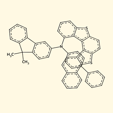 CC1(C)c2ccccc2-c2cc(N(c3ccc(-c4ccccc4)cc3)c3cccc4sc5ccc6sc7c8ccccc8ccc7c6c5c34)ccc21